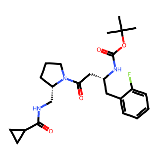 CC(C)(C)OC(=O)N[C@@H](CC(=O)N1CCC[C@H]1CNC(=O)C1CC1)Cc1ccccc1F